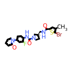 Cc1cc(C(=O)NC[C@H]2CCN(C(=O)Nc3ccc(-n4ccccc4=O)cc3F)C2)sc1Br